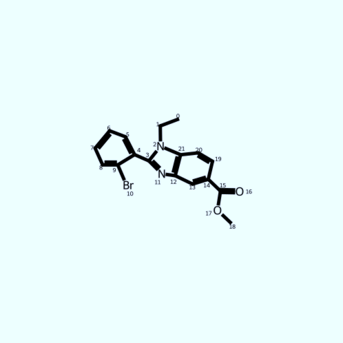 CCn1c(-c2ccccc2Br)nc2cc(C(=O)OC)ccc21